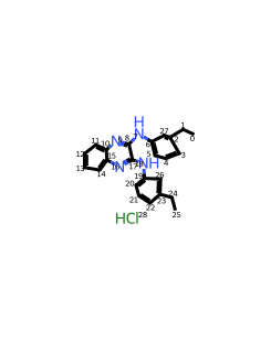 CCc1cccc(Nc2nc3ccccc3nc2Nc2cccc(CC)c2)c1.Cl